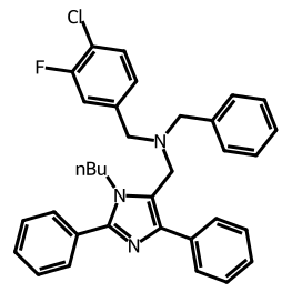 CCCCn1c(-c2ccccc2)nc(-c2ccccc2)c1CN(Cc1ccccc1)Cc1ccc(Cl)c(F)c1